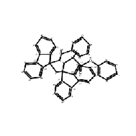 CC(CC1(CC2(CC(C)c3ccccc3)c3ccccc3-c3ccccc32)c2ccccc2-c2ccccc21)C(=O)Oc1ccccc1